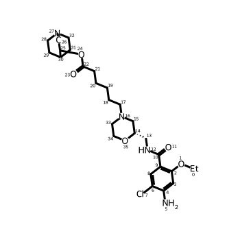 CCOc1cc(N)c(Cl)cc1C(=O)NC[C@H]1CN(CCCCCC(=O)OC2CN3CCC2CC3)CCO1